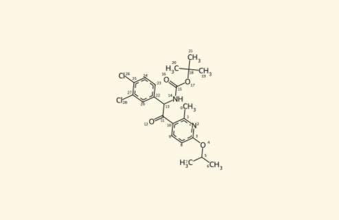 Cc1nc(OC(C)C)ccc1C(=O)C(NC(=O)OC(C)(C)C)c1ccc(Cl)c(Cl)c1